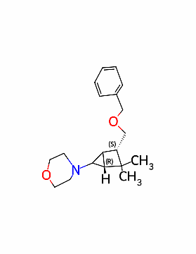 CC1(C)[C@H]2C(C2N2CCOCC2)[C@@H]1COCc1ccccc1